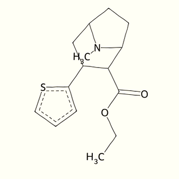 CCOC(=O)C1C(c2cccs2)CC2CCC1N2C